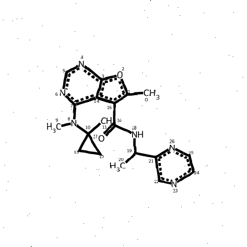 Cc1oc2ncnc(N(C)C3(C)CC3)c2c1C(=O)NC(C)c1cnccn1